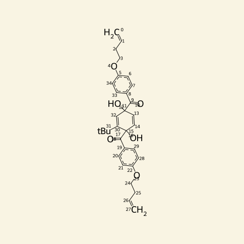 C=CCCOc1ccc(C(=O)C2(O)C=CC(O)(C(=O)c3ccc(OCCC=C)cc3)C(C(C)(C)C)=C2)cc1